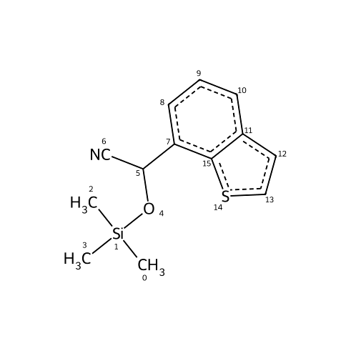 C[Si](C)(C)OC(C#N)c1cccc2ccsc12